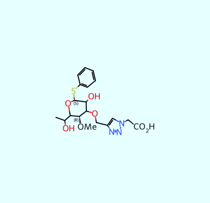 CO[C@H]1C(C(C)O)O[C@@H](Sc2ccccc2)C(O)C1OCc1cn(CC(=O)O)nn1